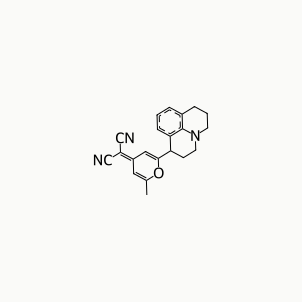 CC1=CC(=C(C#N)C#N)C=C(C2CCN3CCCc4cccc2c43)O1